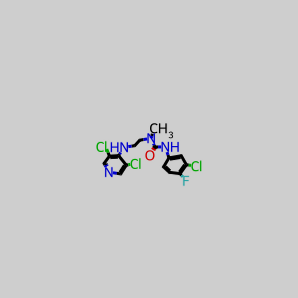 CN(CCNc1c(Cl)cncc1Cl)C(=O)Nc1ccc(F)c(Cl)c1